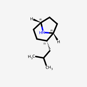 CC(C)C[C@@H]1CC[C@@H]2CC[C@H]1N2